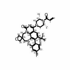 C=CC(=O)N1[C@H](C)CN(c2nc(=O)n3c4c(c(-c5c(F)cc(F)cc5F)c(C(F)(F)F)cc24)SCC2(COC2)C3)C[C@@H]1C